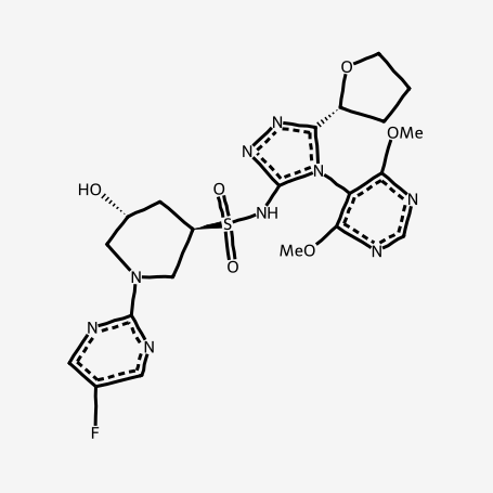 COc1ncnc(OC)c1-n1c(NS(=O)(=O)[C@@H]2C[C@@H](O)CN(c3ncc(F)cn3)C2)nnc1[C@H]1CCCO1